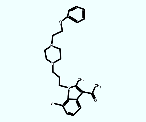 CC(=O)c1c(C)n(CCCN2CCN(CCOc3ccccc3)CC2)c2c(Br)cccc12